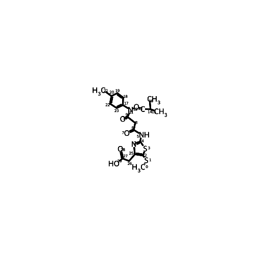 CSc1sc(NC(=O)CC(=O)N(OCC(C)C)c2ccc(C)cc2)nc1CC(=O)O